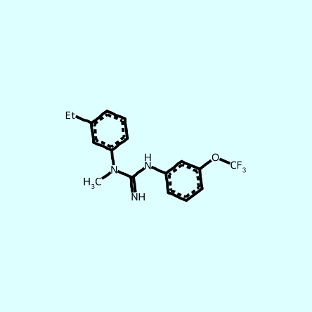 CCc1cccc(N(C)C(=N)Nc2cccc(OC(F)(F)F)c2)c1